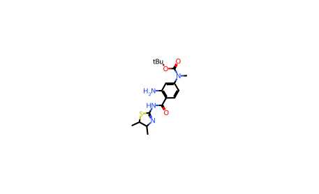 CC1N=C(NC(=O)c2ccc(N(C)C(=O)OC(C)(C)C)cc2N)SC1C